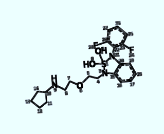 OS1(O)N(CCOCCNC2CCCC2)c2ccccc2N1c1c(F)cccc1F